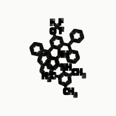 Cc1cc(C)c(NC2=C(Nc3c(C(c4ccccc4)c4ccccc4)cc(OC(F)(F)F)cc3C(c3ccccc3)c3ccccc3)c3cccc4cccc2c34)c(C)c1